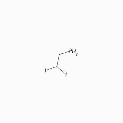 PCC(I)I